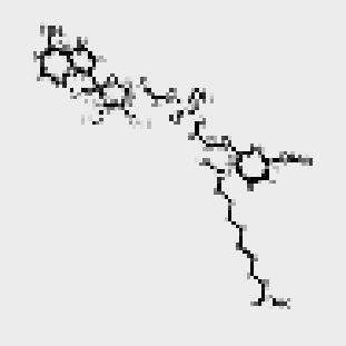 CCCCCCCCCCCCCCCCCCOC[C@H](COP(=O)(O)OCC[C@H]1O[C@@](C#N)(c2ccc3c(N)ncnn23)[C@H](O)[C@@H]1O)Oc1cccc(OC)n1